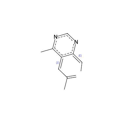 C=C(C)/C=c1/c(C)ncn/c1=C/C